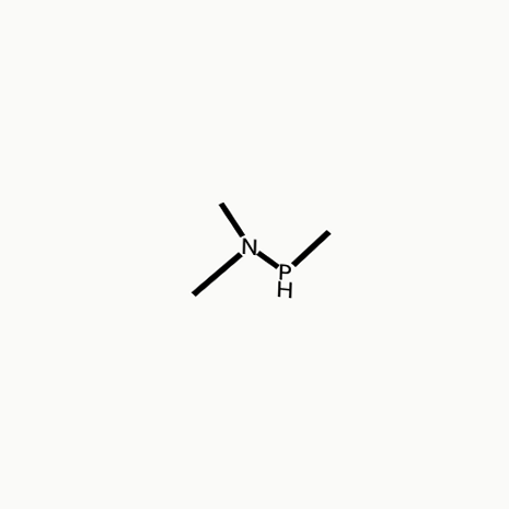 CPN(C)C